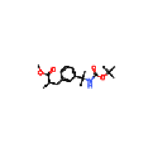 COC(=O)C(C)Cc1cccc(C(C)(C)NC(=O)OC(C)(C)C)c1